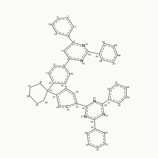 c1ccc(-c2cc(-c3ccc(C4(c5ccc(-c6nc(-c7ccccc7)nc(-c7ccccc7)n6)cc5)CCCCC4)cc3)nc(-c3ccccc3)n2)cc1